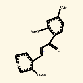 COc1ccccc1/C=C/C(=O)c1ccc(SC)cc1OC